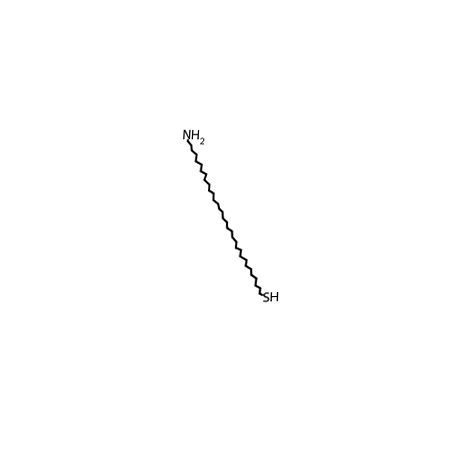 NCCCCCCCCCCCCCCCCCCCCCCCCCCCCCCCCCS